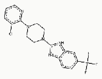 FC(F)(F)c1ccc2nc(N3CCN(c4ncccc4Cl)CC3)[nH]c2c1